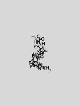 CC(=O)NNC(=O)C12CC(C)CC(C1)N2C(=O)Nc1ccc(C(F)(F)F)c(-n2cc(C)nn2)c1